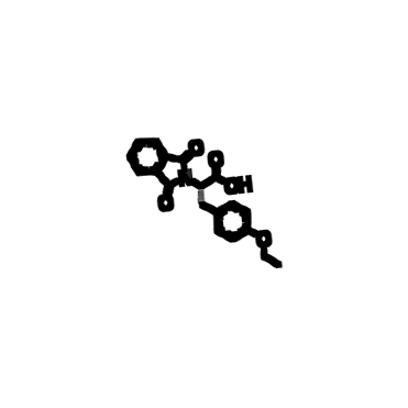 CCOc1ccc(C[C@@H](C(=O)O)N2C(=O)c3ccccc3C2=O)cc1